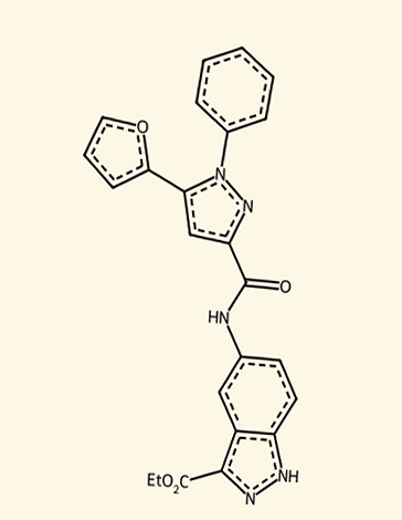 CCOC(=O)c1n[nH]c2ccc(NC(=O)c3cc(-c4ccco4)n(-c4ccccc4)n3)cc12